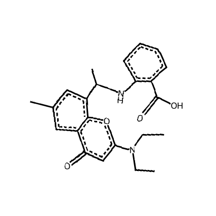 CCN(CC)c1cc(=O)c2cc(C)cc(C(C)Nc3ccccc3C(=O)O)c2o1